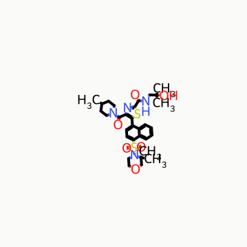 CC1CCN(C(=O)c2nc(C(=O)NCC(C)(C)O)sc2-c2ccc(S(=O)(=O)N3CCOCC3(C)C)c3ccccc23)CC1